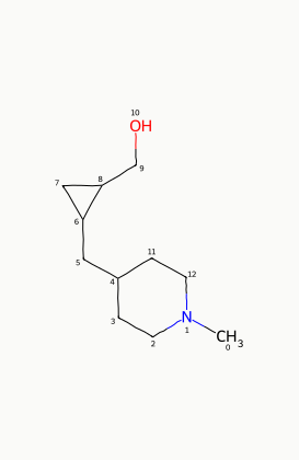 CN1CCC(CC2CC2CO)CC1